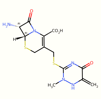 C=C1NN(C)C(SCC2=C(C(=O)O)N3C(=O)[C@@H](N)[C@H]3SC2)=NC1=O